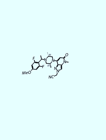 COc1cc(F)c(C(C)N2C[C@H](C)N(c3cc(=O)n(C)c4cn(CC#N)nc34)C[C@H]2C)c(F)c1